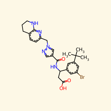 CC(C)(C)c1cc(Br)cc(C(CC(=O)O)NC(=O)c2cnn(Cc3ccc4c(n3)NCCC4)c2)c1